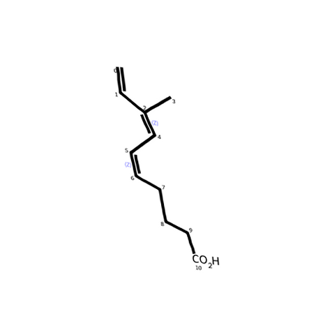 C=C/C(C)=C\C=C/CCCC(=O)O